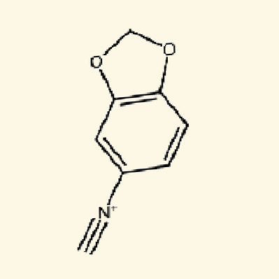 C#[N+]c1ccc2c(c1)OCO2